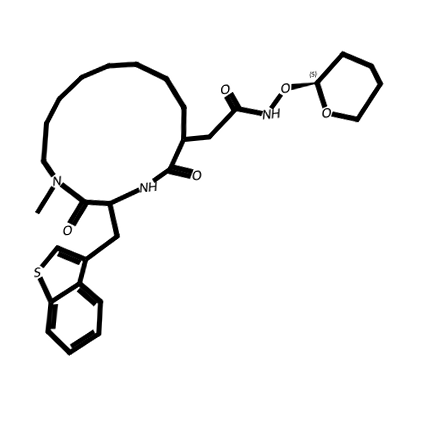 CN1CCCCCCCCC(CC(=O)NO[C@H]2CCCCO2)C(=O)NC(Cc2csc3ccccc23)C1=O